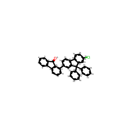 O=C1c2ccccc2-c2cccc(-c3ccc4c(c3)C(c3ccccc3)(c3ccccc3)c3cc(Cl)ccc3-4)c21